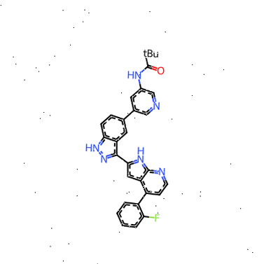 CC(C)(C)C(=O)Nc1cncc(-c2ccc3[nH]nc(-c4cc5c(-c6ccccc6F)ccnc5[nH]4)c3c2)c1